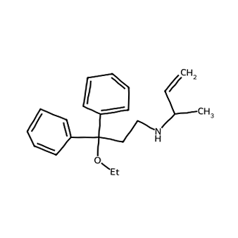 C=CC(C)NCCC(OCC)(c1ccccc1)c1ccccc1